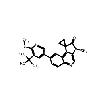 COc1ncc(-c2ccc3ncc4c(c3c2)C2(CC2)C(=O)N4C)cc1C(C)(C)O